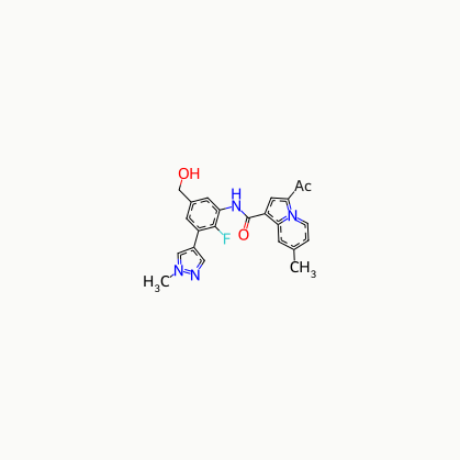 CC(=O)c1cc(C(=O)Nc2cc(CO)cc(-c3cnn(C)c3)c2F)c2cc(C)ccn12